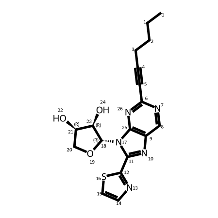 CCCCC#Cc1ncc2nc(-c3nccs3)n([C@@H]3OC[C@@H](O)[C@H]3O)c2n1